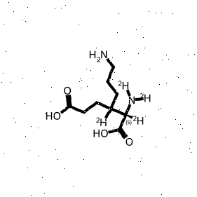 [2H]N([2H])[C@]([2H])(C(=O)O)C([2H])(CCCN)CCC(=O)O